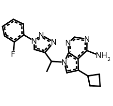 CC(c1cn(-c2ccccc2F)nn1)n1cc(C2CCC2)c2c(N)ncnc21